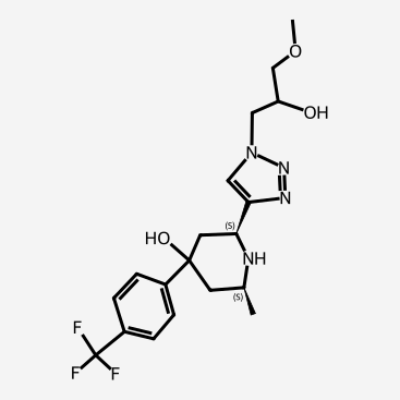 COCC(O)Cn1cc([C@@H]2CC(O)(c3ccc(C(F)(F)F)cc3)C[C@H](C)N2)nn1